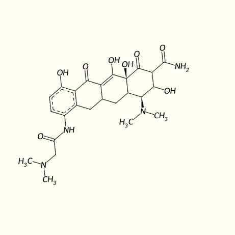 CN(C)CC(=O)Nc1ccc(O)c2c1CC1CC3[C@H](N(C)C)C(O)C(C(N)=O)C(=O)[C@@]3(O)C(O)=C1C2=O